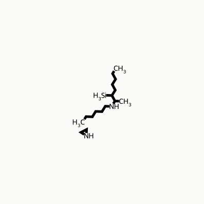 C1CN1.CCCCCCNC(C)C([SiH3])CCCCC